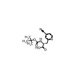 CC(C)(C)OC(=O)N[C@@H](Cc1cc(C#N)ccn1)C(=O)O